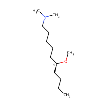 CCCC[C@@H](CCCCCN(C)C)OC